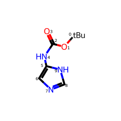 CC(C)(C)OC(=O)Nc1cnc[nH]1